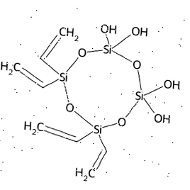 C=C[Si]1(C=C)O[Si](O)(O)O[Si](O)(O)O[Si](C=C)(C=C)O1